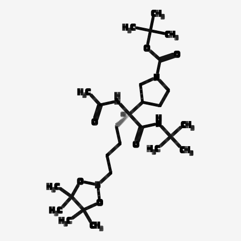 CC(=O)N[C@](CCCCB1OC(C)(C)C(C)(C)O1)(C(=O)NC(C)(C)C)C1CCN(C(=O)OC(C)(C)C)C1